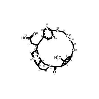 Cc1cc2ccc1C(=O)N1CCc3ccc(cc3C1)C(CC(=O)O)c1cnc(nc1)OCCCCO2